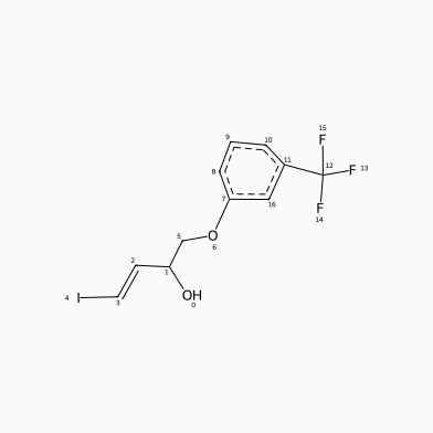 OC(C=CI)COc1cccc(C(F)(F)F)c1